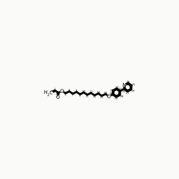 C=CC(=O)OCCCCCCCCCCCCOc1ccc(-c2cc[c]cn2)cc1